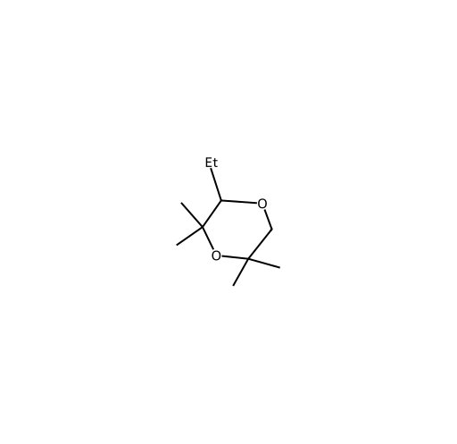 CCC1OCC(C)(C)OC1(C)C